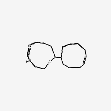 C1=C\CCCC(N2CCC/N=C\NCCC2)CCCC/1